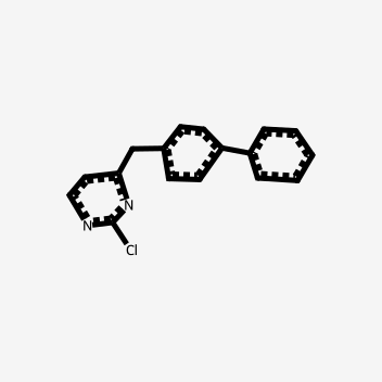 Clc1nccc(Cc2ccc(-c3ccccc3)cc2)n1